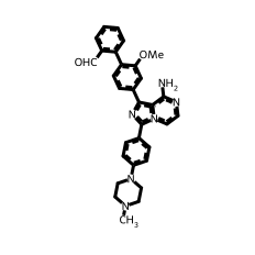 COc1cc(-c2nc(-c3ccc(N4CCN(C)CC4)cc3)n3ccnc(N)c23)ccc1-c1ccccc1C=O